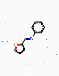 C(=Nc1ccccc1)c1ccco1